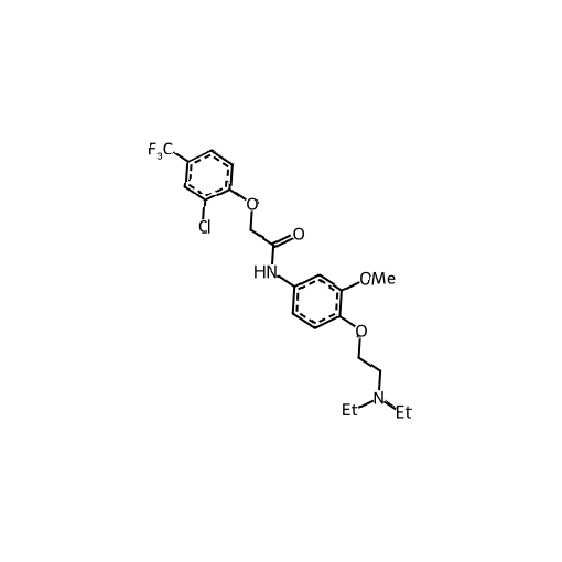 CCN(CC)CCOc1ccc(NC(=O)COc2ccc(C(F)(F)F)cc2Cl)cc1OC